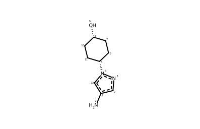 Nc1cnn([C@H]2CC[C@@H](O)CC2)c1